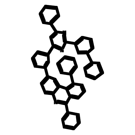 c1ccc(-c2cccc(-c3nc(-c4ccccc4)cc(-c4cccc(-c5ccc6nc(-c7ccccc7)c7cccc(-c8ccccc8)c7c6c5)c4)n3)c2)cc1